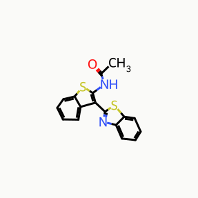 CC(=O)Nc1sc2ccccc2c1-c1nc2ccccc2s1